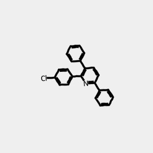 Clc1ccc(-c2nc(-c3ccccc3)ccc2-c2ccccc2)cc1